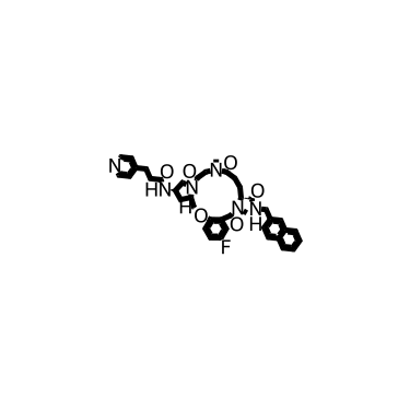 CN1CC(=O)N2C[C@@H](NC(=O)CCc3ccncc3)C[C@H]2COc2ccc(F)cc2C(=O)N(C)[C@@H](C(=O)NCc2ccc3ccccc3c2)CCC1=O